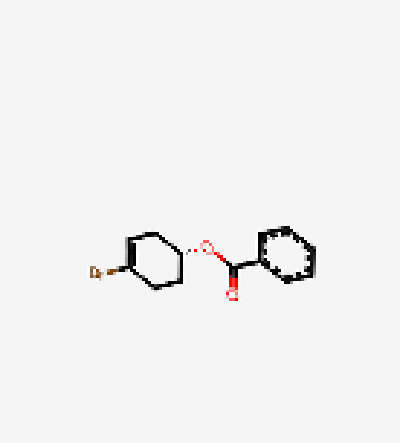 O=C(O[C@H]1CC=C(Br)CC1)c1ccccc1